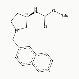 CC(C)(C)OC(=O)N[C@@H]1CCN(Cc2ccc3cnccc3c2)C1